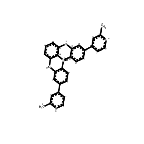 Cc1cc(-c2ccc3c(c2)Oc2cccc4c2P3(=S)c2ccc(-c3ccnc(C)c3)cc2O4)ccn1